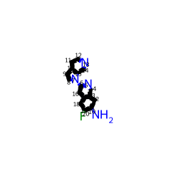 Nc1cc2cnc(-n3ccc4ccncc43)cc2cc1F